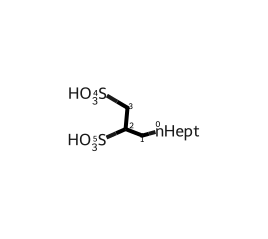 CCCCCCCCC(CS(=O)(=O)O)S(=O)(=O)O